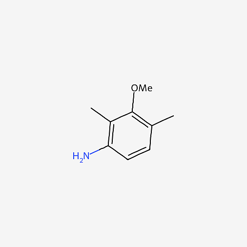 COc1c(C)ccc(N)c1C